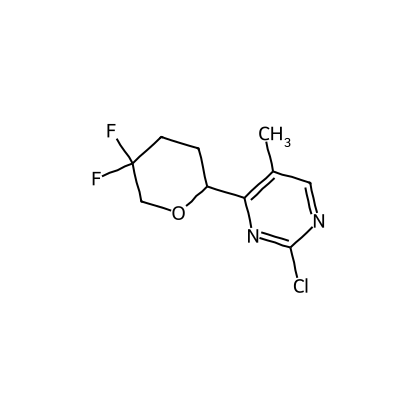 Cc1cnc(Cl)nc1C1CCC(F)(F)CO1